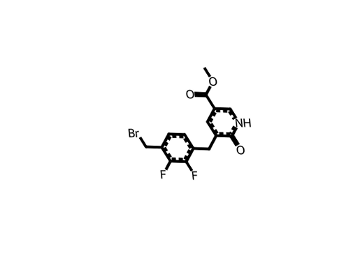 COC(=O)c1c[nH]c(=O)c(Cc2ccc(CBr)c(F)c2F)c1